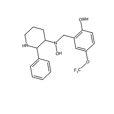 COc1ccc(OC(F)(F)F)cc1CN(O)C1CCCNC1c1ccccc1